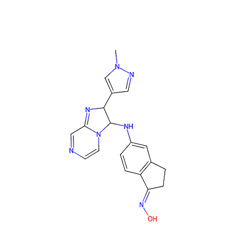 Cn1cc(C2N=C3C=NC=CN3C2Nc2ccc3c(c2)CC/C3=N\O)cn1